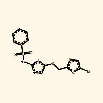 CCc1cnc(CSc2cnc(NS(=O)(=O)c3ccccc3)s2)o1